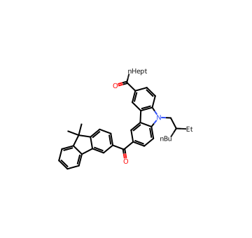 CCCCCCCC(=O)c1ccc2c(c1)c1cc(C(=O)c3ccc4c(c3)-c3ccccc3C4(C)C)ccc1n2CC(CC)CCCC